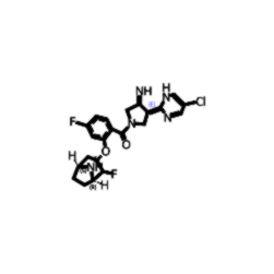 N=C1CN(C(=O)c2ccc(F)cc2O[C@@H]2C[C@@H]3CC[C@@H](N3)C2F)C/C1=C1\N=CC(Cl)=CN1